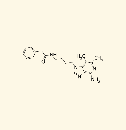 Cc1nc(N)c2ncn(CCCCNC(=O)Cc3ccccc3)c2c1C